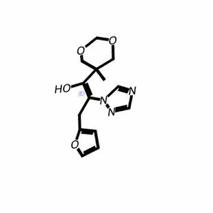 CC1(/C(O)=C(/Cc2ccco2)n2cncn2)COCOC1